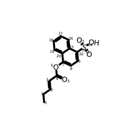 CCC=CC(=O)Oc1ccc(S(=O)(=O)O)c2ccccc12